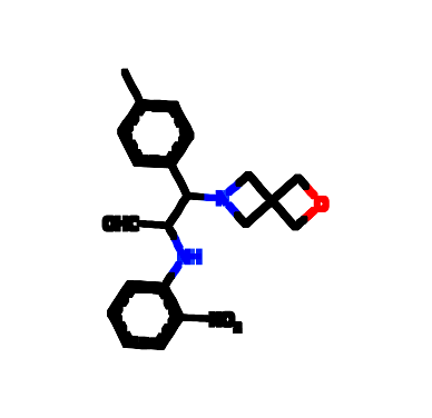 Cc1ccc(C(C(C=O)Nc2ccccc2[N+](=O)[O-])N2CC3(COC3)C2)cc1